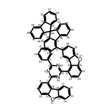 c1ccc(-c2nc(-c3cccc4oc5ccccc5c34)nc(-c3cccc4oc5ccc(-c6cccc7c6-c6ccccc6C76c7ccccc7-c7ccccc76)cc5c34)n2)cc1